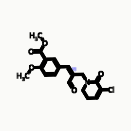 COC(=O)c1cc(/C=C(\C=O)CN2CCC=C(Cl)C2=O)ccc1OC